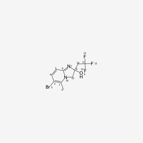 CC1=C(Br)C=CC2=NC(O)(CC(F)(F)F)CN21